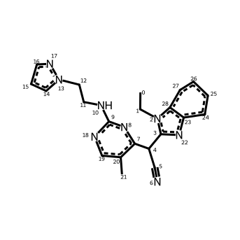 CCn1c(C(C#N)c2nc(NCCn3cccn3)ncc2C)nc2ccccc21